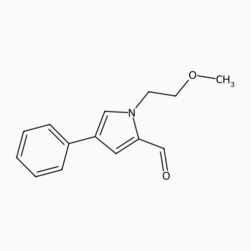 COCCn1cc(-c2ccccc2)cc1C=O